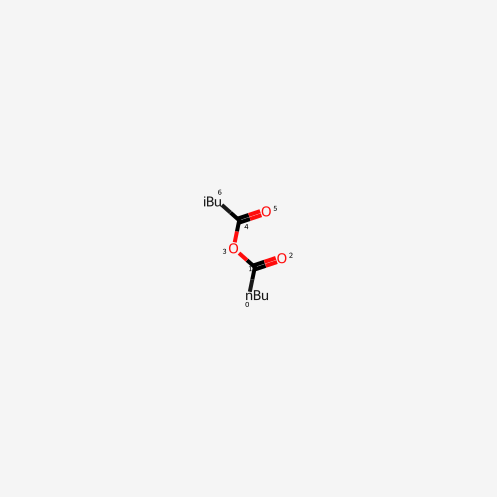 CCCCC(=O)OC(=O)C(C)CC